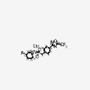 CCOP(=O)(Cc1ccc(-c2noc(C(F)(F)F)n2)cc1)Nc1cccc(F)c1